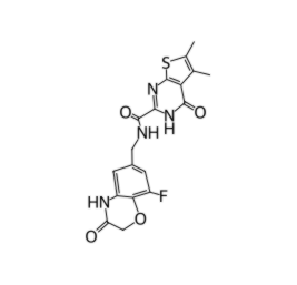 Cc1sc2nc(C(=O)NCc3cc(F)c4c(c3)NC(=O)CO4)[nH]c(=O)c2c1C